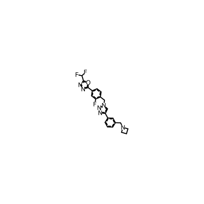 Fc1cc(-c2nnc(C(F)F)o2)ccc1Cn1cc(-c2cccc(CN3CCC3)c2)nn1